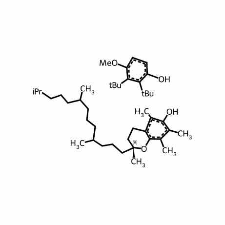 COc1ccc(O)c(C(C)(C)C)c1C(C)(C)C.Cc1c(C)c2c(c(C)c1O)CC[C@@](C)(CCCC(C)CCCC(C)CCCC(C)C)O2